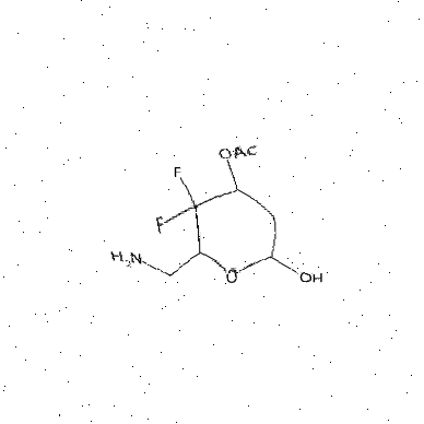 CC(=O)OC1CC(O)OC(CN)C1(F)F